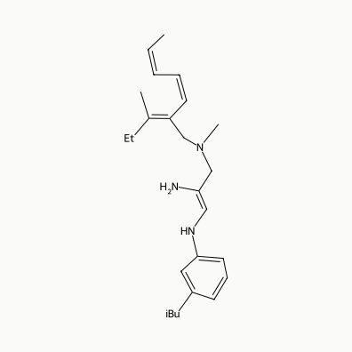 C\C=C/C=C\C(CN(C)C/C(N)=C/Nc1cccc(C(C)CC)c1)=C(/C)CC